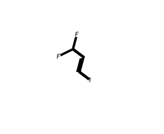 FC(F)C=CI